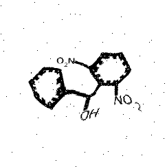 O=[N+]([O-])c1cccc([N+](=O)[O-])c1C(O)c1ccccc1